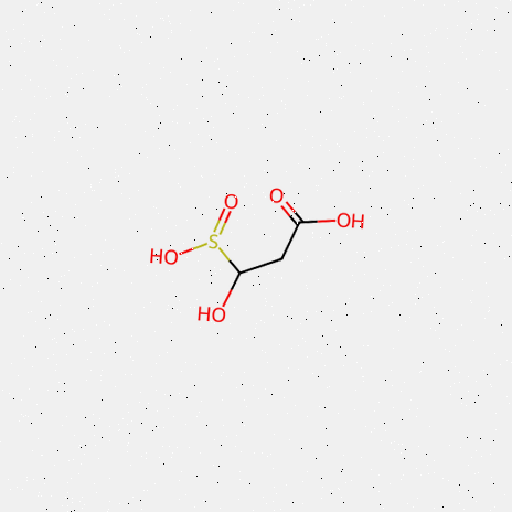 O=C(O)CC(O)S(=O)O